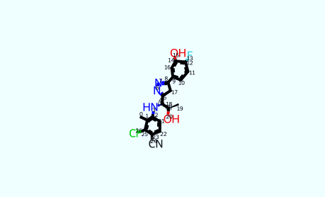 Cc1c(N[C@@H](C2=NN=C(c3ccc(F)c(O)c3)C2)[C@@H](C)O)ccc(C#N)c1Cl